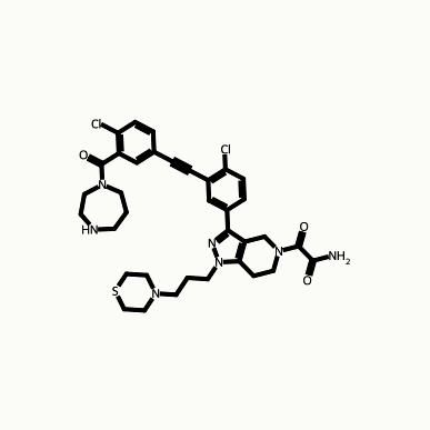 NC(=O)C(=O)N1CCc2c(c(-c3ccc(Cl)c(C#Cc4ccc(Cl)c(C(=O)N5CCCNCC5)c4)c3)nn2CCCN2CCSCC2)C1